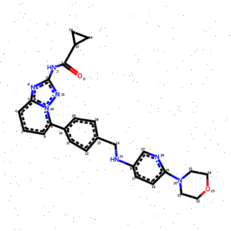 O=C(Nc1nc2cccc(-c3ccc(CNc4ccc(N5CCOCC5)nc4)cc3)n2n1)C1CC1